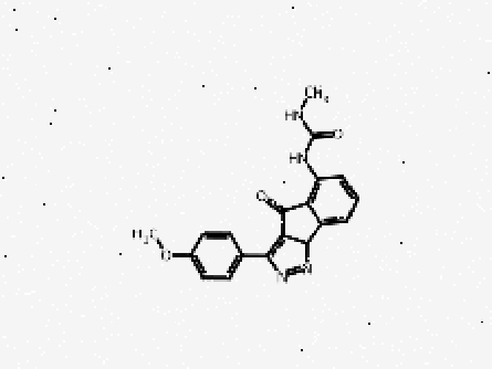 CNC(=O)Nc1cccc2c1C(=O)C1=C(c3ccc(OC)cc3)N=NC12